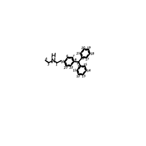 CCNCC.c1ccc(C(c2ccccc2)c2ccccc2)cc1